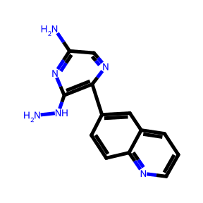 NNc1nc(N)cnc1-c1ccc2ncccc2c1